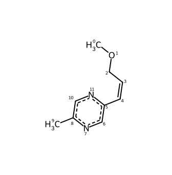 COC/C=C\c1cnc(C)cn1